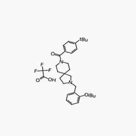 CC(C)COc1ccccc1CN1CCC2(CCN(C(=O)c3ccc(C(C)(C)C)cc3)CC2)C1.O=C(O)C(F)(F)F